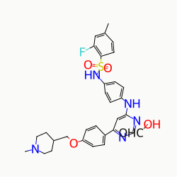 Cc1ccc(S(=O)(=O)Nc2ccc(Nc3cc(-c4ccc(OCC5CCN(C)CC5)cc4)ncn3)cc2)c(F)c1.O=CO